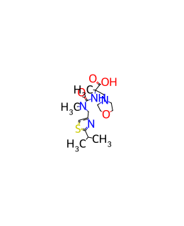 CC(C)c1nc(CN(C)C(=O)NC(C)(CN2CCOCC2)C(=O)O)cs1